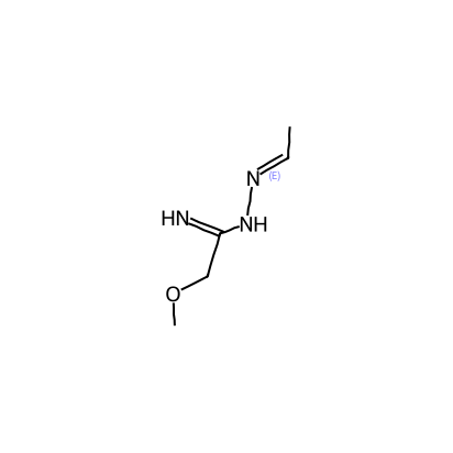 C/C=N/NC(=N)COC